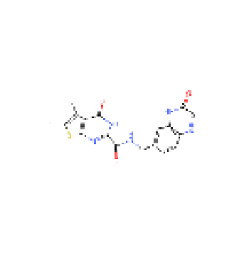 Cc1sc2nc(C(=O)NCc3ccc4ncc(=O)[nH]c4c3)[nH]c(=O)c2c1C